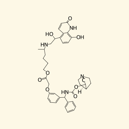 CC(CCCCOC(=O)COc1cccc(C(NC(=O)O[C@H]2CN3CCC2CC3)c2ccccc2)c1)NCC(O)c1ccc(O)c2[nH]c(=O)ccc12